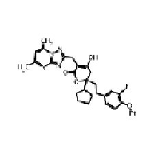 CCOc1ccc(CCC2(C3CCCC3)CC(O)=C(Cc3nc4nc(C)cc(C)n4n3)C(=O)O2)cc1F